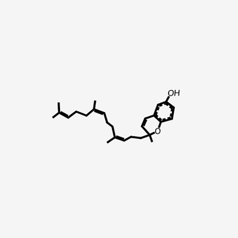 CC(C)=CCCC(C)=CCCC(C)=CCCC1(C)C=Cc2cc(O)ccc2O1